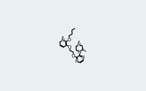 CCCCOC1=C(OCCOc2nccnc2N2CCN(C)C[C@H]2C)C=CCN1C